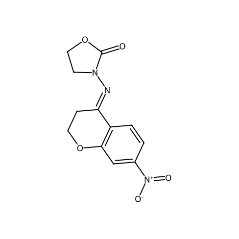 O=C1OCCN1N=C1CCOc2cc([N+](=O)[O-])ccc21